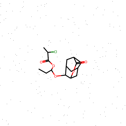 CCC(OC(=O)C(C)Cl)OC1C2CC3CC(C2)C(=O)OC1C3